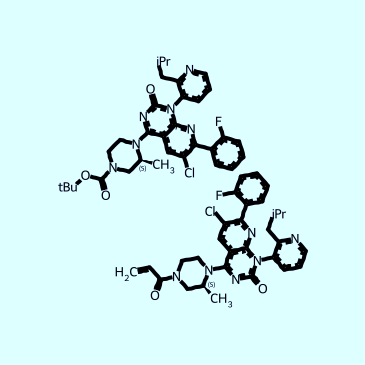 C=CC(=O)N1CCN(c2nc(=O)n(-c3cccnc3CC(C)C)c3nc(-c4ccccc4F)c(Cl)cc23)[C@@H](C)C1.CC(C)Cc1ncccc1-n1c(=O)nc(N2CCN(C(=O)OC(C)(C)C)C[C@@H]2C)c2cc(Cl)c(-c3ccccc3F)nc21